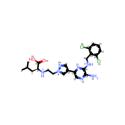 CC(C)C[C@H](NCCn1cc(-c2cnc(N)c(NCc3c(Cl)cccc3Cl)n2)cn1)C(=O)O